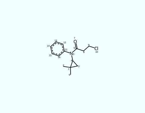 CC1(C)CC1N(C(=O)CCCl)c1ccccc1